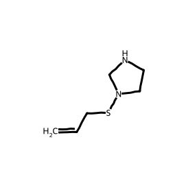 C=CCSN1CCNC1